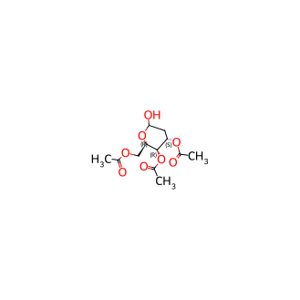 CC(=O)OC[C@H]1OC(O)C[C@H](OC(C)=O)[C@H]1OC(C)=O